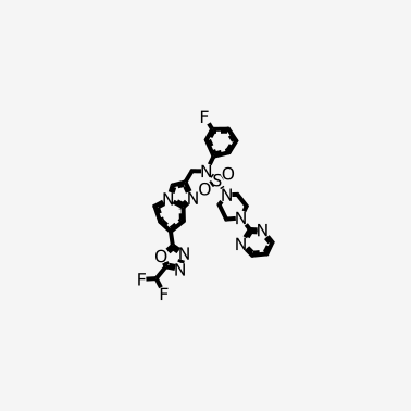 O=S(=O)(N1CCN(c2ncccn2)CC1)N(Cc1cn2ccc(-c3nnc(C(F)F)o3)cc2n1)c1cccc(F)c1